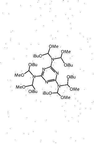 COC(OCC(C)C)N(c1nc(N(C(OC)OCC(C)C)C(OC)OCC(C)C)nc(N(C(OC)OCC(C)C)C(OC)OCC(C)C)n1)C(OC)OCC(C)C